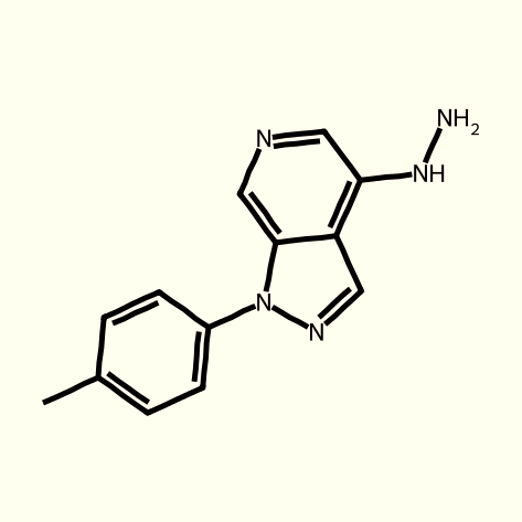 Cc1ccc(-n2ncc3c(NN)cncc32)cc1